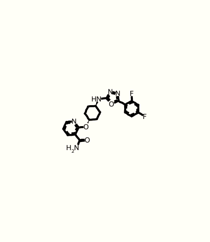 NC(=O)c1cccnc1O[C@H]1CC[C@H](Nc2nnc(-c3ccc(F)cc3F)o2)CC1